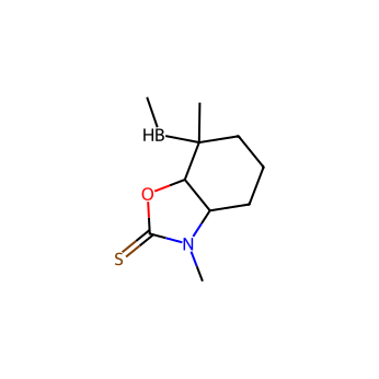 CBC1(C)CCCC2C1OC(=S)N2C